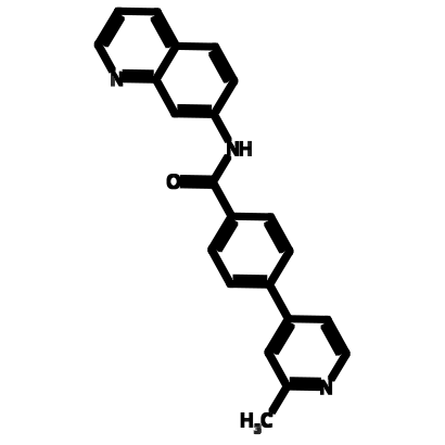 Cc1cc(-c2ccc(C(=O)Nc3ccc4cccnc4c3)cc2)ccn1